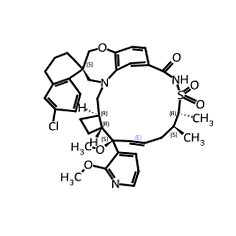 COc1ncccc1[C@@]1(OC)/C=C/C[C@H](C)[C@@H](C)S(=O)(=O)NC(=O)c2ccc3c(c2)N(C[C@@H]2CC[C@H]21)C[C@@]1(CCCc2cc(Cl)ccc21)CO3